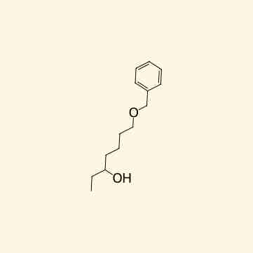 CCC(O)CCCCOCc1ccccc1